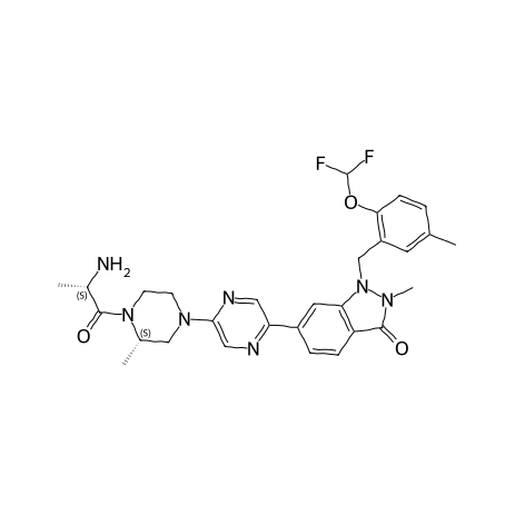 Cc1ccc(OC(F)F)c(Cn2c3cc(-c4cnc(N5CCN(C(=O)[C@H](C)N)[C@@H](C)C5)cn4)ccc3c(=O)n2C)c1